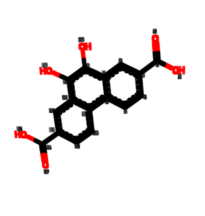 O=C(O)c1ccc2c(c1)c(O)c(O)c1cc(C(=O)O)ccc12